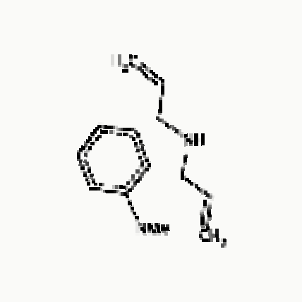 C=CCNCC=C.CNc1ccccc1